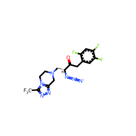 [N-]=[N+]=N[C@H](CN1CCn2c(nnc2C(F)(F)F)C1)C(=O)Cc1cc(F)c(F)cc1F